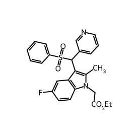 CCOC(=O)Cn1c(C)c(C(c2cccnc2)S(=O)(=O)c2ccccc2)c2cc(F)ccc21